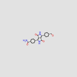 NC(=O)c1ccc(C2=C3C(=O)NC(c4ccc(C=O)cc4)=C3C(=O)N2)cc1